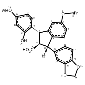 CCCOc1ccc2c(c1)[C@@H](c1ccc(OC)cc1O)[C@H](C(=O)O)[C@@]2(CC)c1ccc2c(c1)OCO2